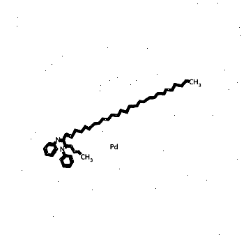 CCCCCCCCCCCCCCCCCCCCCCCCCCC=CC(=Nc1ccccc1)C(CCCC)=Nc1ccccc1.[Pd]